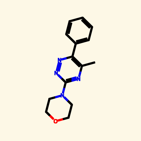 Cc1nc(N2CCOCC2)nnc1-c1ccccc1